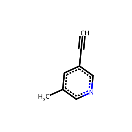 C#Cc1cncc(C)c1